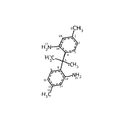 Cc1ccc(C(C)(C)c2ccc(C)cc2N)c(N)c1